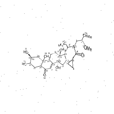 COC(CN(C(=O)C1CC1)C(C)C1CC[C@@]2(O)C3=CC(=O)C4CC(O)[C@@H](O)CC4(C)C3CC[C@]12C)OC